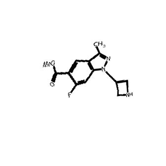 COC(=O)c1cc2c(C)nn(C3CNC3)c2cc1F